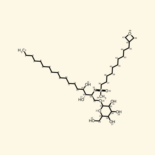 CCCCCCCCCCCCCC[C@@H](O)[C@@H](O)[C@H](COC1OC(CO)C(O)C(O)C1O)N=S(C)(=O)CCCCCCCCCCC1COC1